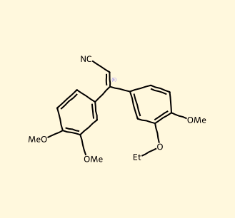 CCOc1cc(/C(=C/C#N)c2ccc(OC)c(OC)c2)ccc1OC